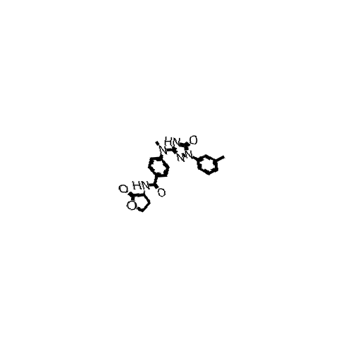 Cc1cccc(-n2nc(N(C)c3ccc(C(=O)N[C@@H]4CCOC4=O)cc3)[nH]c2=O)c1